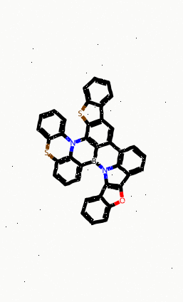 c1ccc2c(c1)Sc1cccc3c1N2c1c2c(cc4c1sc1ccccc14)-c1cccc4c5oc6ccccc6c5n(c14)B32